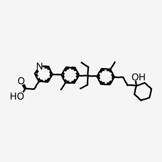 CCC(CC)(c1ccc(CCC2(O)CCCCC2)c(C)c1)c1ccc(-c2cncc(CC(=O)O)c2)c(C)c1